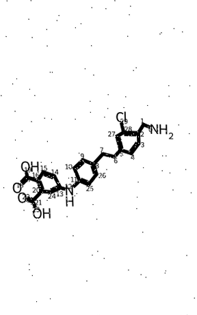 NCc1ccc(CCc2ccc(Nc3ccc(C(=O)O)c(C(=O)O)c3)cc2)cc1Cl